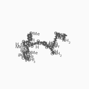 CC[C@H](C)C(C(CC(=O)N1C[C@@H](OC(=O)NCCNC(=O)OCc2ccc(NC(=O)[C@H](CCCNC(N)=O)NC(=O)[C@@H](NC(=O)CCCCCN3C(=O)CC(SCC4(CC(N)=O)CC4)C3=O)C(C)C)cc2)C[C@H]1[C@H](OC)[C@@H](C)C(=O)NCC(=O)c1ccc2cc(OC)ccc2c1)OC)N(C)C(=O)[C@@H](NC(=O)[C@H](C(C)C)N(C)C)C(C)C